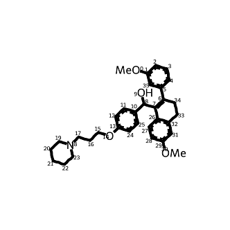 COc1cccc(C2=C(C(O)c3ccc(OCCCN4CCCCC4)cc3)c3ccc(OC)cc3CC2)c1